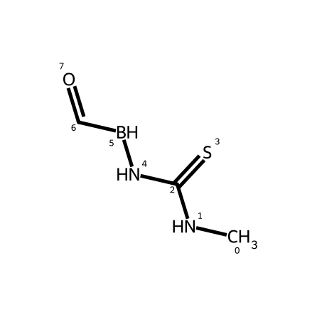 CNC(=S)NBC=O